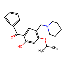 CC(C)Oc1cc(O)c(C(=O)c2ccccc2)cc1CN1CCCCC1